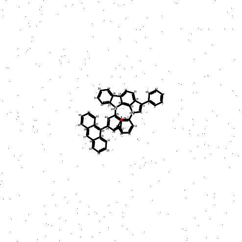 c1ccc(-c2cn(-c3ccccc3)c3c2ccc2c4ccccc4n(-c4cccc(-c5c6ccccc6cc6ccccc56)c4)c23)cc1